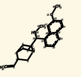 C=CC1CN2CCC1CC2[C@@H](NC)c1ccnc2ccc(OC)cc12